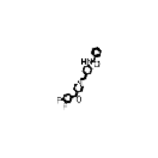 O=C(NC1CCC(CCN2CCC(C(=O)c3ccc(F)c(F)c3)CC2)CC1)c1ccccc1